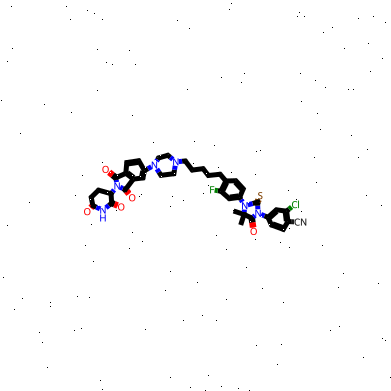 CC1(C)C(=O)N(c2ccc(C#N)c(Cl)c2)C(=S)N1c1ccc(CCCCCN2CCN(c3ccc4c(c3)C(=O)N(C3CCC(=O)NC3=O)C4=O)CC2)c(F)c1